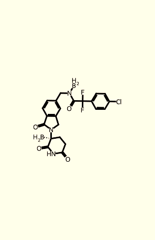 BN(Cc1ccc2c(c1)CN([C@@]1(B)CCC(=O)NC1=O)C2=O)C(=O)C(F)(F)c1ccc(Cl)cc1